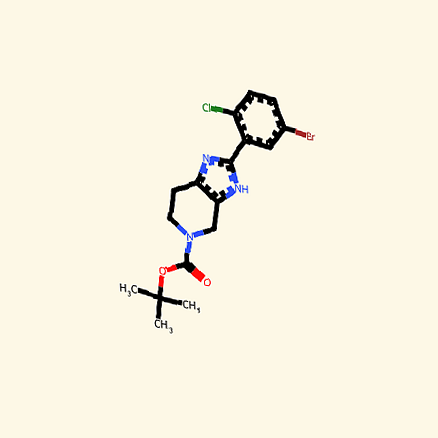 CC(C)(C)OC(=O)N1CCc2nc(-c3cc(Br)ccc3Cl)[nH]c2C1